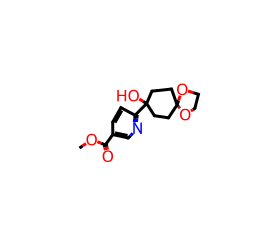 COC(=O)c1ccc(C2(O)CCC3(CC2)OCCO3)nc1